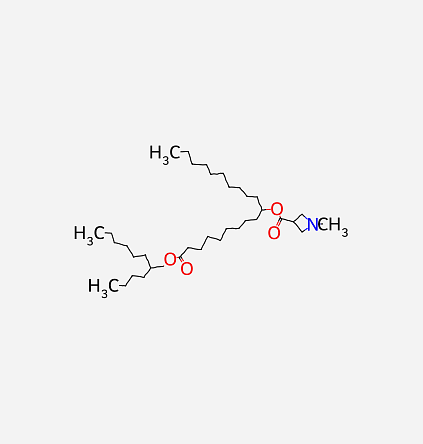 CCCCCCCCCCC(CCCCCCCCC(=O)OCC(CCCC)CCCCCC)OC(=O)C1CN(C)C1